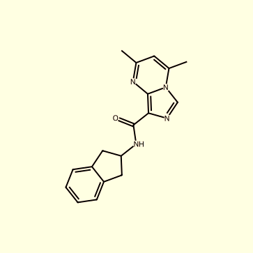 Cc1cc(C)n2cnc(C(=O)NC3Cc4ccccc4C3)c2n1